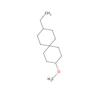 CCC1CCC2(CC1)CCC(OC)CC2